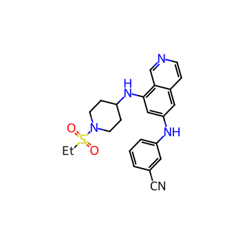 CCS(=O)(=O)N1CCC(Nc2cc(Nc3cccc(C#N)c3)cc3ccncc23)CC1